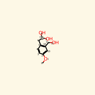 COc1ccc(CB(O)O)c(CO)c1